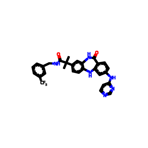 CC(C)(C(=O)NCc1cccc(C(F)(F)F)c1)c1ccc2c(c1)NC(=O)c1ccc(Nc3ccncn3)cc1N2